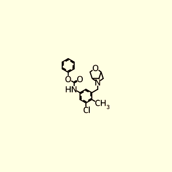 Cc1c(Cl)cc(NC(=O)Oc2ccccc2)cc1CN1CC2CC1CO2